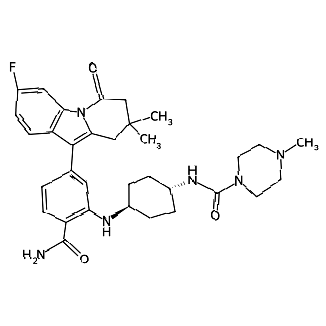 CN1CCN(C(=O)N[C@H]2CC[C@H](Nc3cc(-c4c5n(c6cc(F)ccc46)C(=O)CC(C)(C)C5)ccc3C(N)=O)CC2)CC1